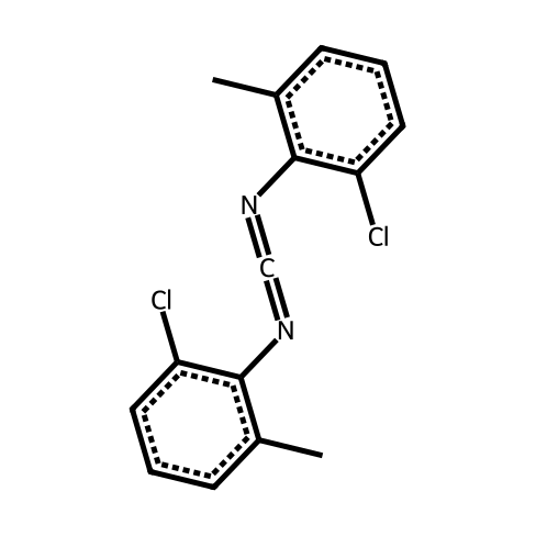 Cc1cccc(Cl)c1N=C=Nc1c(C)cccc1Cl